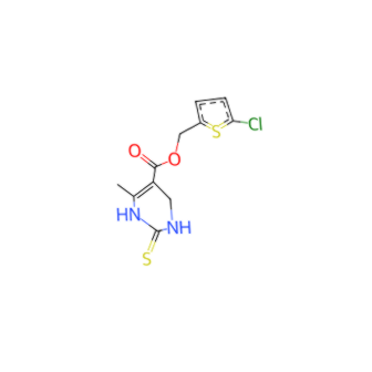 CC1=C(C(=O)OCc2ccc(Cl)s2)CNC(=S)N1